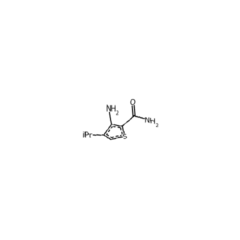 CC(C)c1csc(C(N)=O)c1N